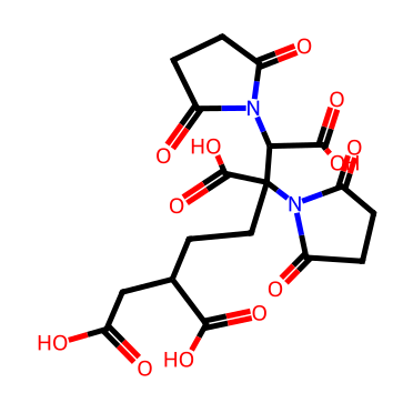 O=C(O)CC(CCC(C(=O)O)(C(C(=O)O)N1C(=O)CCC1=O)N1C(=O)CCC1=O)C(=O)O